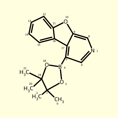 CC1(C)OB(c2cncc3oc4ccccc4c23)OC1(C)C